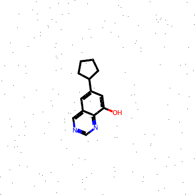 Oc1cc(C2CCCC2)cc2cncnc12